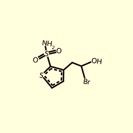 NS(=O)(=O)c1sccc1CC(O)Br